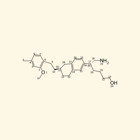 COc1cc(C)ccc1CC[C@@H]1CCc2cc([C@H](CN)CCCCO)ccc2C1